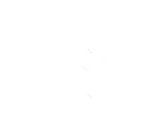 [2H]c1c([2H])c(C2c3[nH]c4ccccc4c3C[C@@H]3C(=O)N(C)CC(=O)N23)c([2H])c2c1OC([2H])([2H])O2